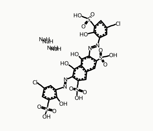 O=S(=O)(O)c1cc(Cl)cc(/N=N/c2c(S(=O)(=O)O)cc3cc(S(=O)(=O)O)c(/N=N/c4cc(Cl)cc(S(=O)(=O)O)c4O)c(O)c3c2O)c1O.[NaH].[NaH].[NaH].[NaH]